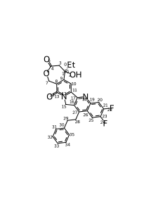 CC[C@@]1(O)CC(=O)OCc2c1cc1n(c2=O)Cc2c-1nc1cc(F)c(F)cc1c2CCc1ccccc1